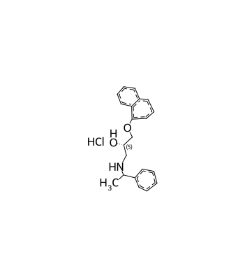 CC(NC[C@H](O)COc1cccc2ccccc12)c1ccccc1.Cl